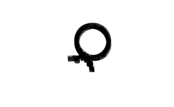 N#Cc1ccc(C2=NOC3(CCCCCCCCCCCCCCCCCCCCCCCCCCCCCCCCCCCCCCCCCCCCCCCCCCN(C(=O)CCCC(=O)O)CC3)C2)cc1